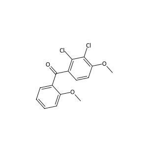 COc1ccccc1C(=O)c1ccc(OC)c(Cl)c1Cl